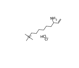 C=CC(N)CCCCCC[N+](C)(C)C.Cl.[Cl-]